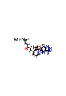 CN[C@@H](C)/C=C/C(=O)CCC1CCCN2C[C@H]1COc1cc3ncnc(C)c3nc12